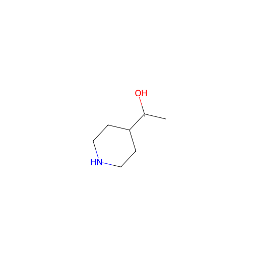 C[C](O)C1CCNCC1